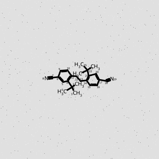 CC(C)(C)c1cc(C#N)ccc1CCc1ccc(C#N)cc1C(C)(C)C